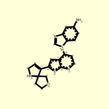 Nc1ccc2c(c1)N=C[SH]2c1ccnc2sc(C3=CCNC34CCOC4)cc12